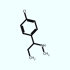 [CH2]CC(NC)c1ccc(Cl)cc1